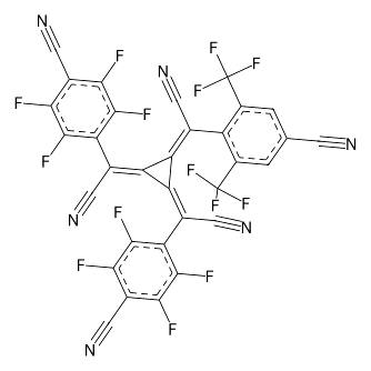 N#CC(=C1C(=C(\C#N)c2c(C(F)(F)F)cc(C#N)cc2C(F)(F)F)/C1=C(\C#N)c1c(F)c(F)c(C#N)c(F)c1F)c1c(F)c(F)c(C#N)c(F)c1F